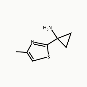 Cc1csc(C2(N)CC2)n1